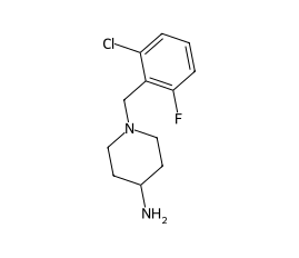 NC1CCN(Cc2c(F)cccc2Cl)CC1